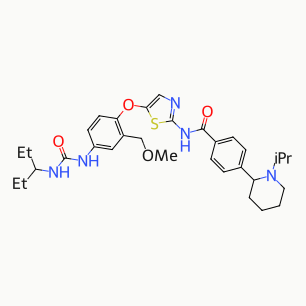 CCC(CC)NC(=O)Nc1ccc(Oc2cnc(NC(=O)c3ccc(C4CCCCN4C(C)C)cc3)s2)c(COC)c1